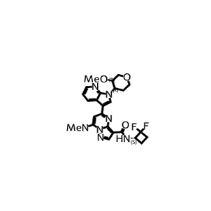 CNc1cc(-c2cn([C@@H]3CCOC[C@@H]3OC)c3ncccc23)nc2c(C(=O)N[C@H]3CCC3(F)F)cnn12